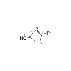 N#CC1CC=C(F)CC1